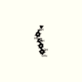 CC(=O)Oc1ccc(-c2ccc(-c3cc(Nc4ccc(CNC5CC5)cc4)n[nH]3)cc2)c(O)c1